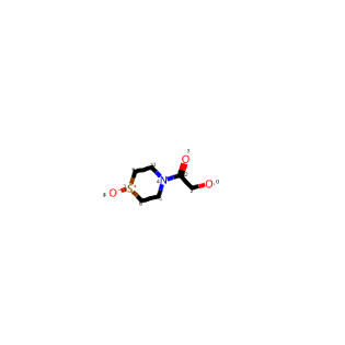 [O]CC(=O)N1CC[S+]([O-])CC1